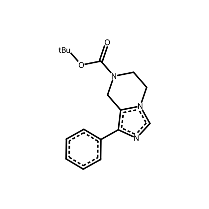 CC(C)(C)OC(=O)N1CCn2cnc(-c3ccccc3)c2C1